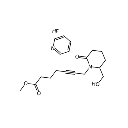 COC(=O)CCCC#CCN1C(=O)CCCC1CO.F.c1ccncc1